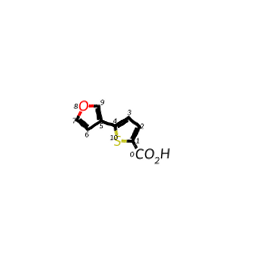 O=C(O)c1ccc(-c2ccoc2)s1